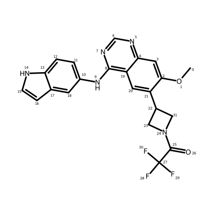 COc1cc2ncnc(Nc3ccc4[nH]ccc4c3)c2cc1C1CN(C(=O)C(F)(F)F)C1